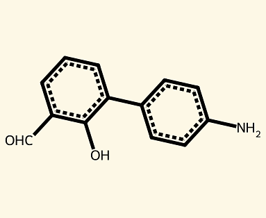 Nc1ccc(-c2cccc(C=O)c2O)cc1